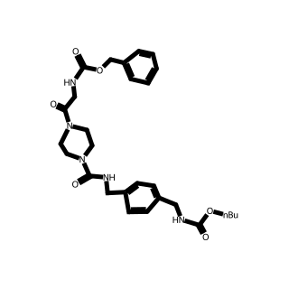 CCCCOC(=O)NCc1ccc(CNC(=O)N2CCN(C(=O)CNC(=O)OCc3ccccc3)CC2)cc1